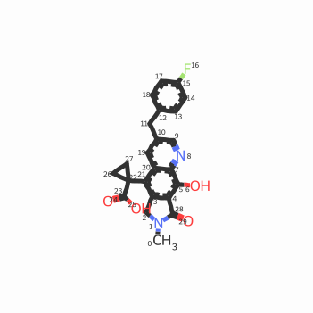 CN1Cc2c(c(O)c3ncc(Cc4ccc(F)cc4)cc3c2C2(C(=O)O)CC2)C1=O